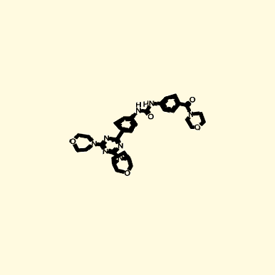 O=C(Nc1ccc(C(=O)N2CCOCC2)cc1)Nc1ccc(-c2nc(N3CCOCC3)nc(N3C4CCC3COC4)n2)cc1